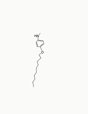 CCCCCCCCCCOc1ccc(NC)cc1